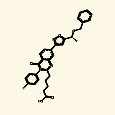 C[C@@H](OCc1ccccc1)c1cc(-c2ccc3c(=O)n(-c4ccc(F)cc4)c(CCCCC(=O)O)nc3c2)no1